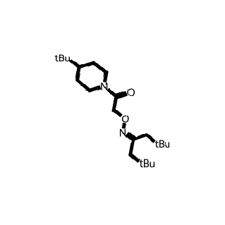 CC(C)(C)CC(CC(C)(C)C)=NOCC(=O)N1CCC(C(C)(C)C)CC1